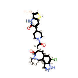 Bc1csc2cc(C3CCN(C(=O)C[C@@H]4Cc5cc(Cl)c6[nH]ncc6c5CN(CC(C)(C)C)C4=O)CC3)c(=O)[nH]c12